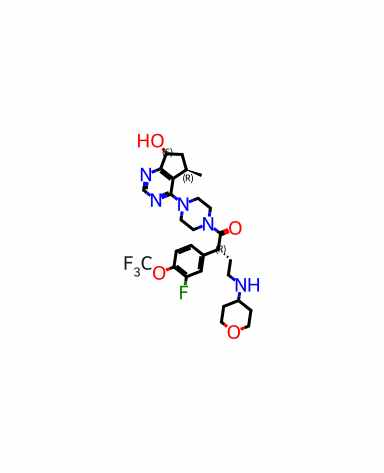 C[C@@H]1C[C@H](O)c2ncnc(N3CCN(C(=O)[C@H](CCNC4CCOCC4)c4ccc(OC(F)(F)F)c(F)c4)CC3)c21